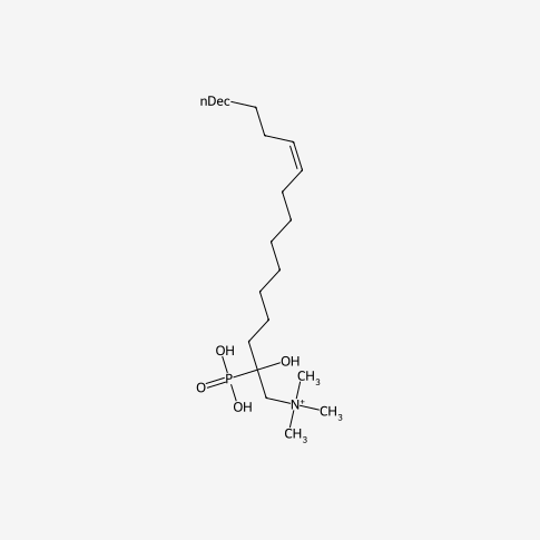 CCCCCCCCCCCC/C=C\CCCCCCCC(O)(C[N+](C)(C)C)P(=O)(O)O